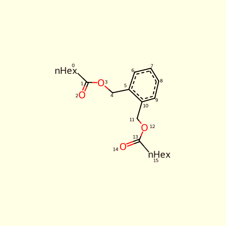 CCCCCCC(=O)OCc1ccccc1COC(=O)CCCCCC